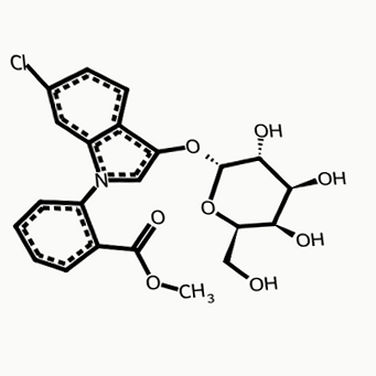 COC(=O)c1ccccc1-n1cc(O[C@H]2O[C@H](CO)[C@H](O)[C@H](O)[C@H]2O)c2ccc(Cl)cc21